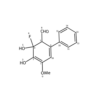 COC1=C(O)C(O)(F)C(C=O)C(c2ccccc2)=C1